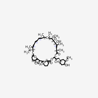 CO[C@H]1C[C@@H]2CC[C@@H](C)[C@@](C)(O2)C(=O)C(=O)N2CCCC[C@H]2C(=O)O[C@H]([C@H](C)C[C@@H]2CC[C@@H](O)[C@H](OC)C2)CC(=O)[C@H](C)/C=C(\C)[C@@H](O)[C@@H](OC)C(=O)[C@H](C)C[C@H](C)/C=C/C=C/C=C/1C